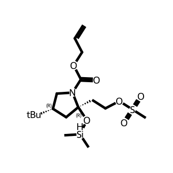 C=CCOC(=O)N1C[C@@H](C(C)(C)C)C[C@]1(CCOS(C)(=O)=O)O[SiH](C)C